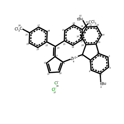 CC(C)(C)c1ccc2c(c1)[CH]([Zr+2][C]1=CC=CC1=C(c1ccc(C(Cl)(Cl)Cl)cc1)c1ccc(C(Cl)(Cl)Cl)cc1)c1cc(C(C)(C)C)ccc1-2.[Cl-].[Cl-]